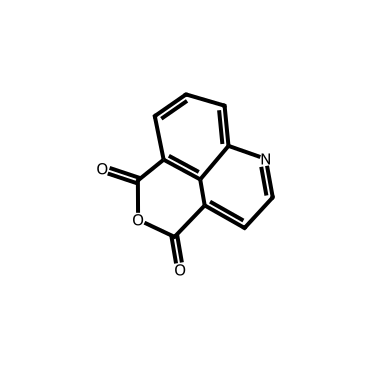 O=C1OC(=O)c2ccnc3cccc1c23